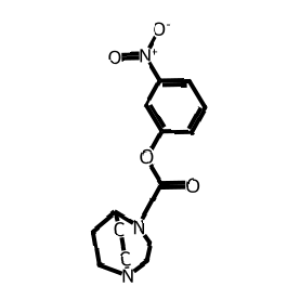 O=C(Oc1cccc([N+](=O)[O-])c1)N1CCN2CCC1CC2